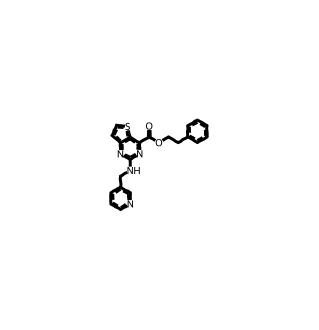 O=C(OCCc1ccccc1)c1nc(NCc2cccnc2)nc2ccsc12